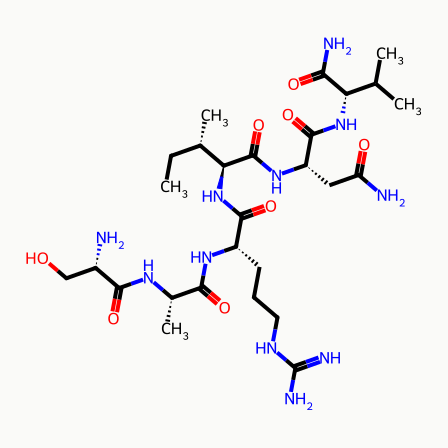 CC[C@H](C)[C@H](NC(=O)[C@H](CCCNC(=N)N)NC(=O)[C@H](C)NC(=O)[C@@H](N)CO)C(=O)N[C@@H](CC(N)=O)C(=O)N[C@H](C(N)=O)C(C)C